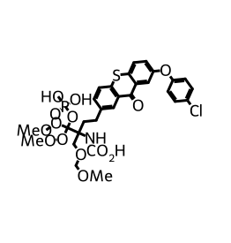 COCOCC(CCc1ccc2sc3ccc(Oc4ccc(Cl)cc4)cc3c(=O)c2c1)(NC(=O)O)C(OOC)(OOC)OP(=O)(O)O